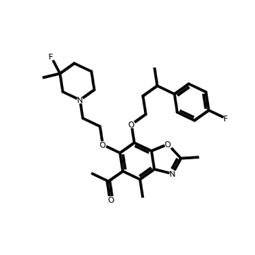 CC(=O)c1c(OCCN2CCCC(C)(F)C2)c(OCCC(C)c2ccc(F)cc2)c2oc(C)nc2c1C